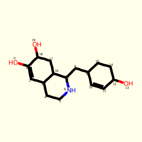 OC1=CC2CCNC(CC3C=CC(O)CC3)C2CC1O